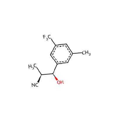 Cc1cc([C@@H](O)[C@H](C)C#N)cc(C(F)(F)F)c1